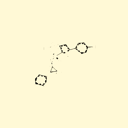 C[C@H]1[C@H](NS(=O)(=O)c2ccc(-c3ccc(Cl)cc3)s2)[C@H]1c1ccccc1.O=C(O)O